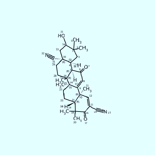 CC1(C)C[C@H]2[C@H]3C(=O)C=C4[C@@]5(C)C=C(C#N)C(=O)C(C)(C)[C@@H]5CC[C@@]4(C)[C@]3(C)CC[C@@]2(C#N)CC1O